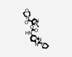 Cn1ncc(C(=O)N2CCOCC2)c1OC(=O)Nc1ccc2nc(N3CCCC3)nn2c1